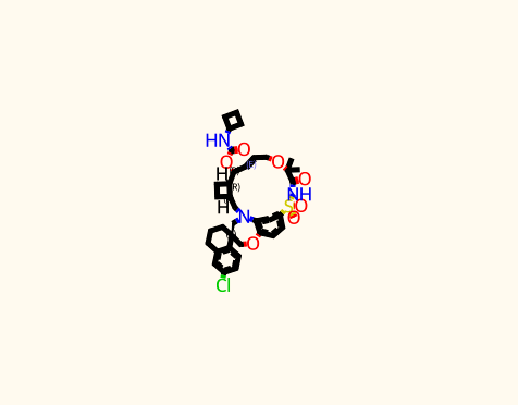 CC1(C)OC/C=C/[C@H](OC(=O)NC2CCC2)[C@@H]2CC[C@H]2CN2C[C@@]3(CCCc4cc(Cl)ccc43)COc3ccc(cc32)S(=O)(=O)NC1=O